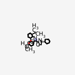 COc1ccc(/C(=N\c2c(C(C)C)cccc2C(C)C)C2=N[C@@H](c3ccccc3)CO2)cc1